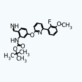 COc1cccc(-c2cccc(Oc3ccc(C=N)c(NC(=O)OC(C)(C)C)c3)n2)c1F